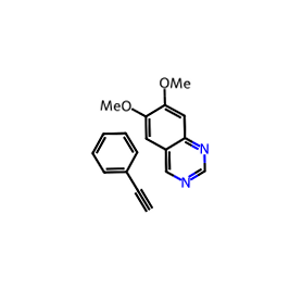 C#Cc1ccccc1.COc1cc2cncnc2cc1OC